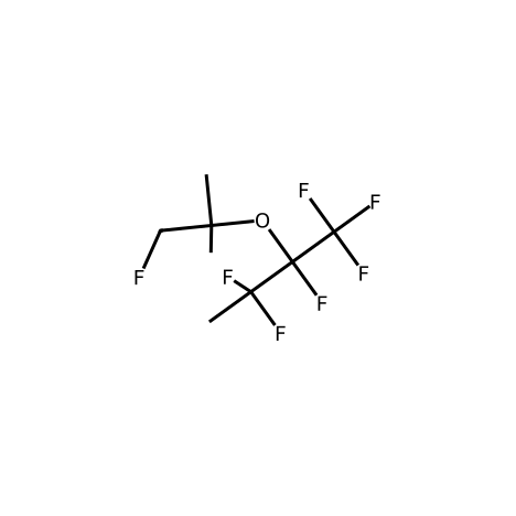 CC(C)(CF)OC(F)(C(C)(F)F)C(F)(F)F